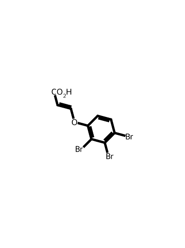 O=C(O)C=COc1ccc(Br)c(Br)c1Br